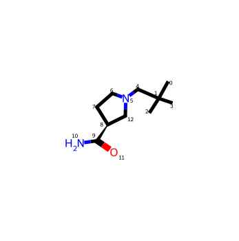 CC(C)(C)CN1CC[C@H](C(N)=O)C1